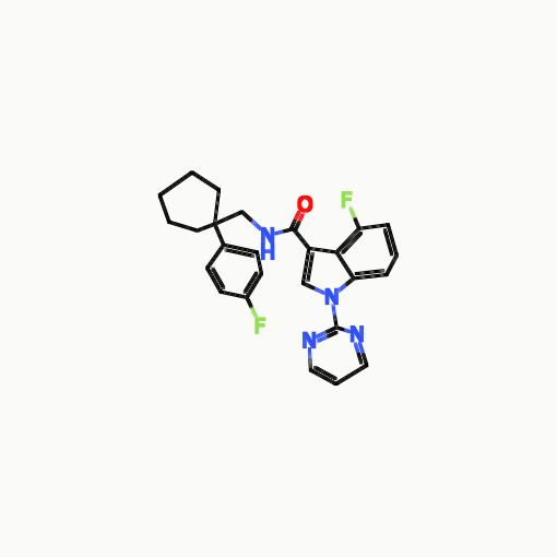 O=C(NCC1(c2ccc(F)cc2)CCCCC1)c1cn(-c2ncccn2)c2cccc(F)c12